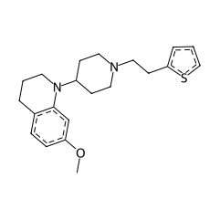 COc1ccc2c(c1)N(C1CCN(CCc3cccs3)CC1)CCC2